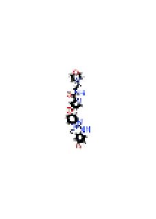 Cn1c(Nc2ccc(Br)cc2)nc2cc(Oc3ccnc(C(=O)NCCN4CCOCC4)c3)ccc21